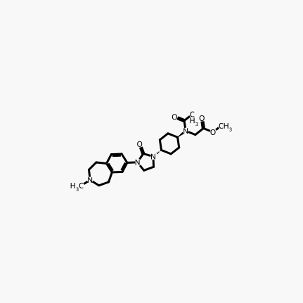 COC(=O)CN(C(C)=O)[C@H]1CC[C@H](N2CCN(c3ccc4c(c3)CCN(C)CC4)C2=O)CC1